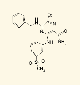 CCc1nc(C(N)=O)c(Nc2cccc(S(C)(=O)=O)c2)nc1NCc1ccccc1